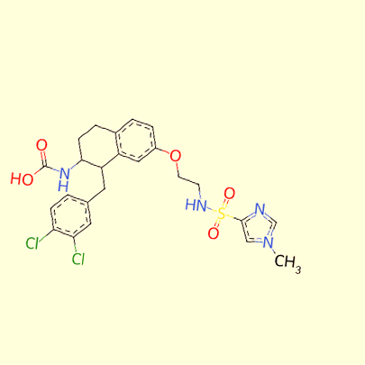 Cn1cnc(S(=O)(=O)NCCOc2ccc3c(c2)C(Cc2ccc(Cl)c(Cl)c2)C(NC(=O)O)CC3)c1